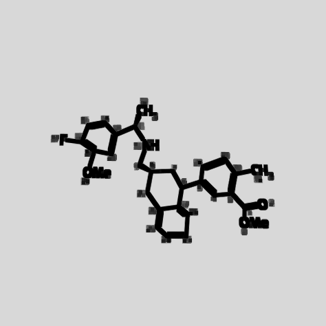 COC(=O)c1cc(C2C[C@H](CN[C@H](C)c3ccc(F)c(OC)c3)Cc3ccccc32)ccc1C